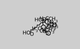 CC1(C)CC(C(CCCCCCCC(=O)O)(C(=O)O)C2CC(C)(C)N(OC3CCCCC3)C(C)(C)C2)CC(C)(C)N1OC1CCCCC1